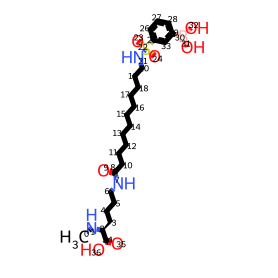 CN[C@@H](CCCCNC(=O)CCCCCCCCCCCNS(=O)(=O)c1cccc(B(O)O)c1)C(=O)O